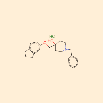 Cl.OC1(COc2ccc3c(c2)CCC3)CCN(Cc2ccccc2)CC1